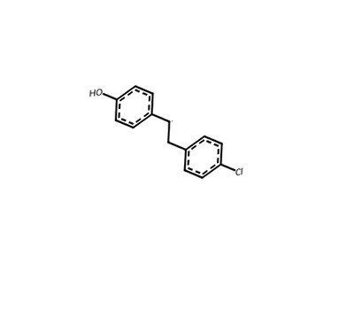 Oc1ccc([CH]Cc2ccc(Cl)cc2)cc1